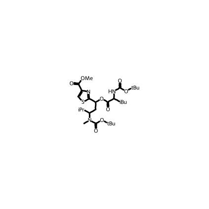 CCC(C)C(NC(=O)OC(C)(C)C)C(=O)OC(CC(C(C)C)N(C)C(=O)OC(C)(C)C)c1nc(C(=O)OC)cs1